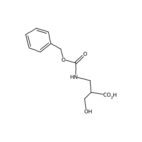 O=C(NCC(CO)C(=O)O)OCc1ccccc1